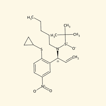 C=C[C@@H](c1cc([N+](=O)[O-])ccc1SC1CC1)N(CCCCC)[S+]([O-])C(C)(C)C